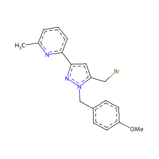 COc1ccc(Cn2nc(-c3cccc(C)n3)cc2CBr)cc1